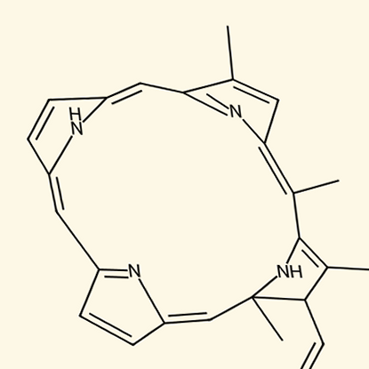 C=CC1C(C)=C2NC1(C)C=C1C=CC(=N1)C=c1ccc([nH]1)=CC1=NC(=C2C)C=C1C